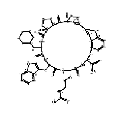 N=C(N)NCCC[C@@H]1NC(=O)C(Cc2c[nH]c3ccccc23)NC(=O)[C@@H](CC2CCCCC2)NC(=O)[C@@H]2CCCN2C(=O)[C@@H]2CSC(=N2)c2cc3c(cccc3s2)C[C@@H](C(N)=O)NC1=O